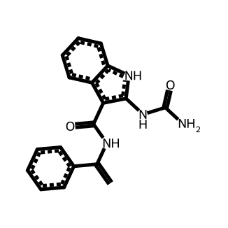 C=C(NC(=O)c1c(NC(N)=O)[nH]c2ccccc12)c1ccccc1